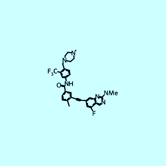 CNc1ncc2c(F)cc(C#Cc3cc(C(=O)Nc4ccc(CN5CCN(C)CC5)c(C(F)(F)F)c4)ccc3C)cc2n1